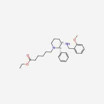 CCOC(=O)CCCCCN1CCC[C@H](NCc2ccccc2OC)[C@@H]1c1ccccc1